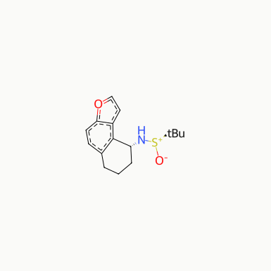 CC(C)(C)[S@@+]([O-])N[C@@H]1CCCc2ccc3occc3c21